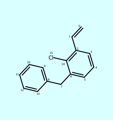 C=Cc1cccc(Cc2ccccc2)c1Cl